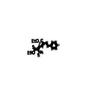 CCOC(=O)C(=CC=C(C(=S)OCC)N(C)C)CCc1ccccc1